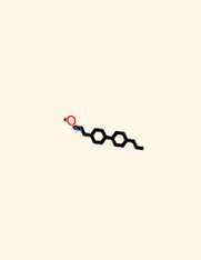 CCCC1CCC(C2CCC(C/C=C/OC)CC2)CC1